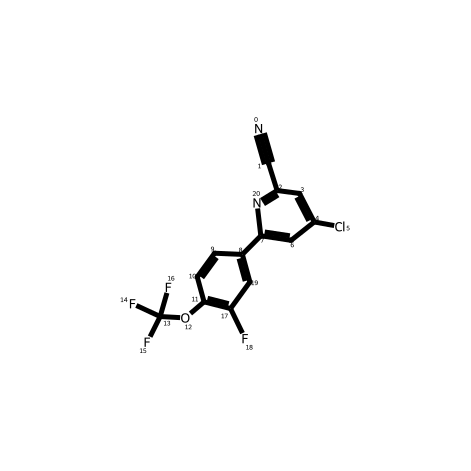 N#Cc1cc(Cl)cc(-c2ccc(OC(F)(F)F)c(F)c2)n1